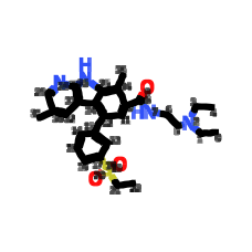 CCN(CC)CCNC(=O)c1cc(-c2cccc(S(=O)(=O)CC)c2)c2c([nH]c3ncc(C)cc32)c1C